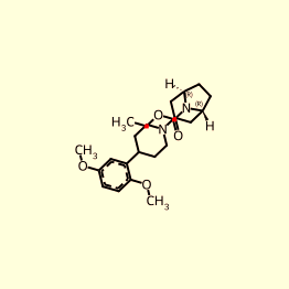 CCOC(=O)N1[C@@H]2CC[C@@H]1CC(N1CCC(c3cc(OC)ccc3OC)CC1)C2